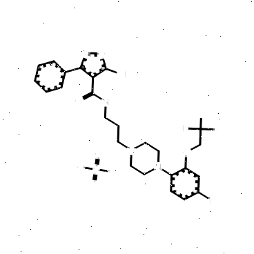 CS(=O)(=O)O.Cc1onc(-c2ccccc2)c1C(=O)NCCCN1CCN(c2ccc(F)cc2OCC(F)(F)F)CC1